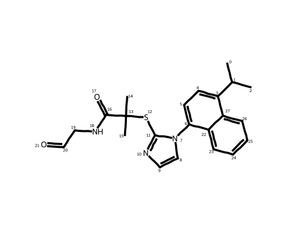 CC(C)c1ccc(-n2ccnc2SC(C)(C)C(=O)NCC=O)c2ccccc12